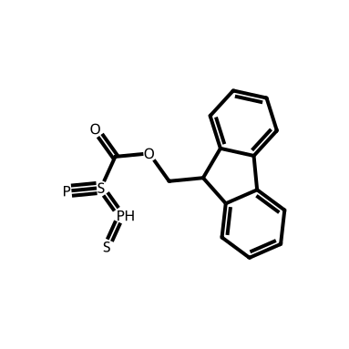 O=C(OCC1c2ccccc2-c2ccccc21)S(#P)=[PH]=S